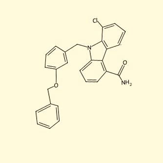 NC(=O)c1cccc2c1c1[c]ccc(Cl)c1n2Cc1cccc(OCc2ccccc2)c1